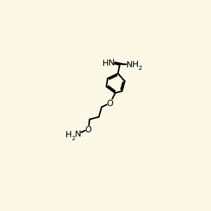 N=C(N)c1ccc(OCCCON)cc1